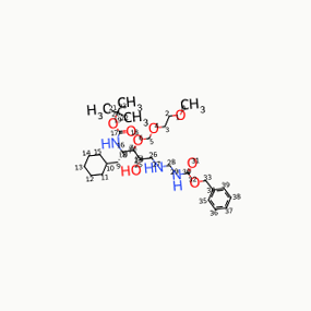 COCCOCO[C@H]([C@H](CC1CCCCC1)NC(=O)OC(C)(C)C)[C@@H](O)CNCNC(=O)OCc1ccccc1